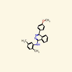 COc1ccc(-c2nnc(Nc3cc(C)ccc3C)c3ccccc23)cc1